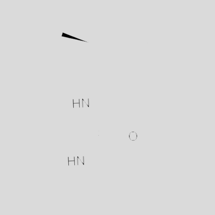 CNC(=O)N[C@H]1CCC[C@@H]1C